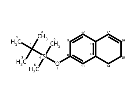 CC(C)(C)[Si](C)(C)Oc1ccc2c(c1)CCC=C2